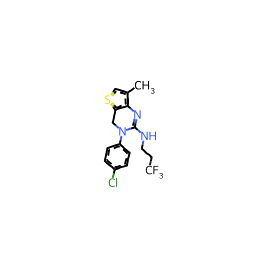 Cc1csc2c1N=C(NCCC(F)(F)F)N(c1ccc(Cl)cc1)C2